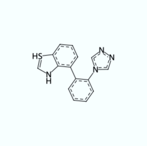 C1=[SH]c2cccc(-c3ccccc3-n3cnnc3)c2N1